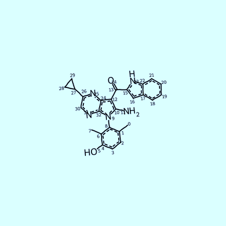 Cc1ccc(O)c(C)c1-n1c(N)c(C(=O)c2cc3ccccc3[nH]2)c2nc(C3CC3)cnc21